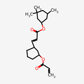 C=CC(=O)OC1CCCC(/C=C/C(=O)OC2CC(C)CC(C)(C)C2)C1